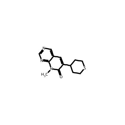 Cn1c(=O)c(C2CCSCC2)cc2cncnc21